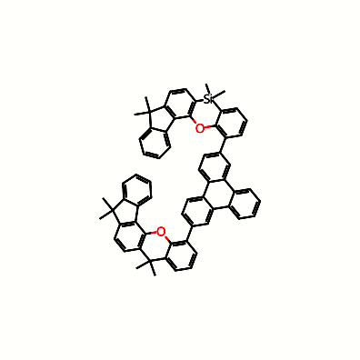 CC1(C)c2cccc(-c3ccc4c5ccc(-c6cccc7c6Oc6c(ccc8c6-c6ccccc6C8(C)C)[Si]7(C)C)cc5c5ccccc5c4c3)c2Oc2c1ccc1c2-c2ccccc2C1(C)C